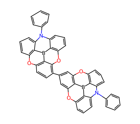 c1ccc(N2c3cccc4c3B3c5c(cc(-c6ccc7c8c6Oc6cccc9c6B8c6c(cccc6N9c6ccccc6)O7)cc5Oc5cccc2c53)O4)cc1